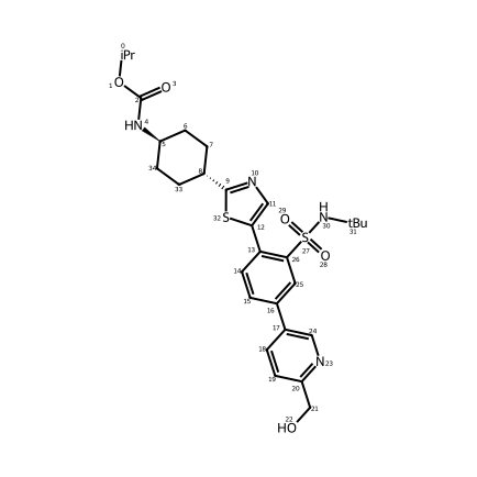 CC(C)OC(=O)N[C@H]1CC[C@H](c2ncc(-c3ccc(-c4ccc(CO)nc4)cc3S(=O)(=O)NC(C)(C)C)s2)CC1